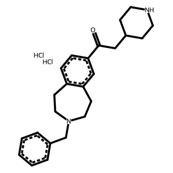 Cl.Cl.O=C(CC1CCNCC1)c1ccc2c(c1)CCN(Cc1ccccc1)CC2